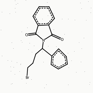 O=C1c2ccccc2C(=O)N1C(CCCBr)c1ccccc1